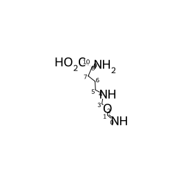 N=COCNCCC[C@@H](N)C(=O)O